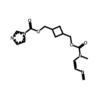 C=N/C=C\N(C)C(=O)OCC1CC(COC(=O)n2ccnc2)C1